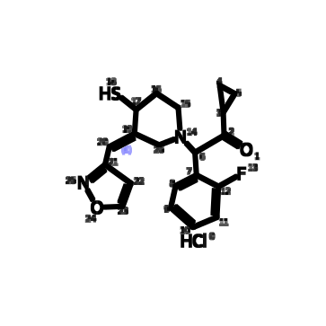 Cl.O=C(C1CC1)C(c1ccccc1F)N1CCC(S)/C(=C/c2ccon2)C1